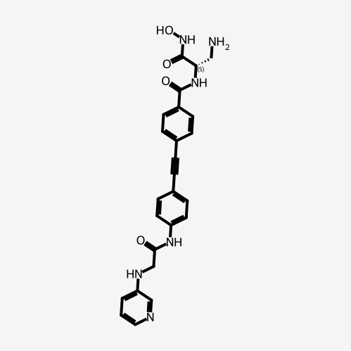 NC[C@H](NC(=O)c1ccc(C#Cc2ccc(NC(=O)CNc3cccnc3)cc2)cc1)C(=O)NO